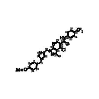 COc1ccc(Cn2cnc(Cn3nc(C)c4c(Cl)c(C(=O)Nc5ccc(C(F)(F)F)cc5)cnc43)c2)cc1